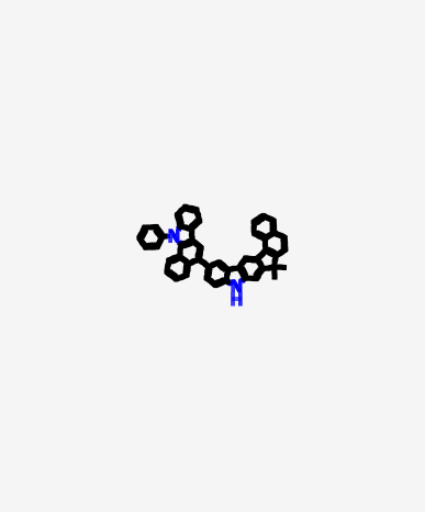 CC1(C)c2cc3[nH]c4ccc(-c5cc6c7ccccc7n(-c7ccccc7)c6c6ccccc56)cc4c3cc2-c2c1ccc1ccccc21